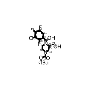 CC(C)(C)OC(=O)N1CCN(C(O)c2cc(F)c(I)c(Cl)c2F)[C@@H](CO)C1